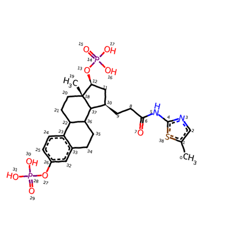 Cc1cnc(NC(=O)CC[C@@H]2C[C@H](OP(=O)(O)O)[C@@]3(C)CCC4c5ccc(OP(=O)(O)O)cc5CCC4C23)s1